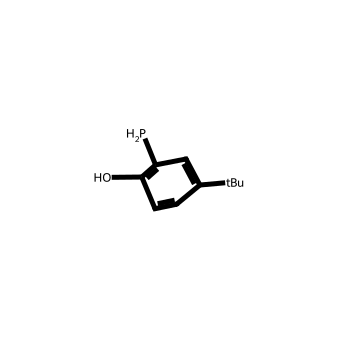 CC(C)(C)c1ccc(O)c(P)c1